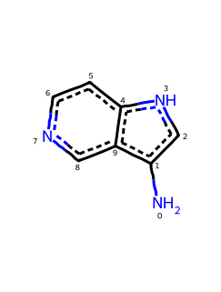 Nc1c[nH]c2ccncc12